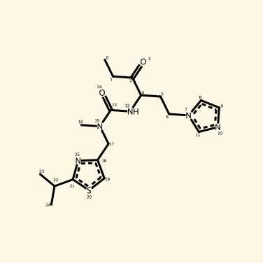 CCC(=O)C(CCn1ccnc1)NC(=O)N(C)Cc1csc(C(C)C)n1